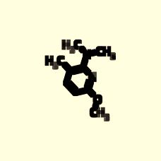 COc1ccc(C)c(N(C)C)n1